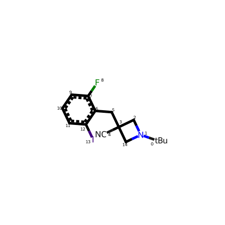 CC(C)(C)N1CC(C#N)(Cc2c(F)cccc2I)C1